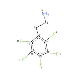 NCCc1c(F)c(F)c(F)c(F)c1F